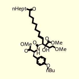 CCCCCCCC(=O)CCCCCC/C=C/[C@H](C(=O)N[C@@H](Cc1ccc(OCCCC)cc1)C(=O)OC)[C@@](O)(CCOC)C(=O)OC